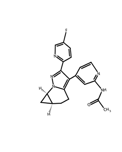 CC(=O)Nc1cc(-c2c(-c3ccc(F)cn3)nn3c2CC[C@H]2C[C@H]23)ccn1